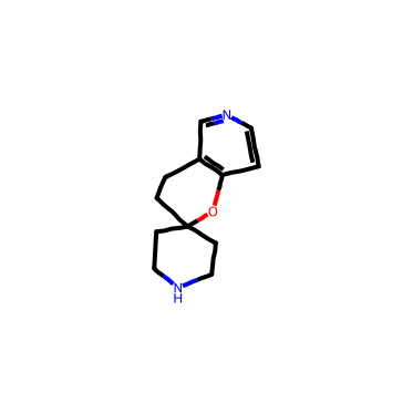 c1cc2c(cn1)CCC1(CCNCC1)O2